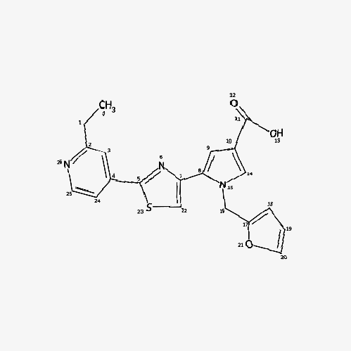 CCc1cc(-c2nc(-c3cc(C(=O)O)cn3Cc3ccco3)cs2)ccn1